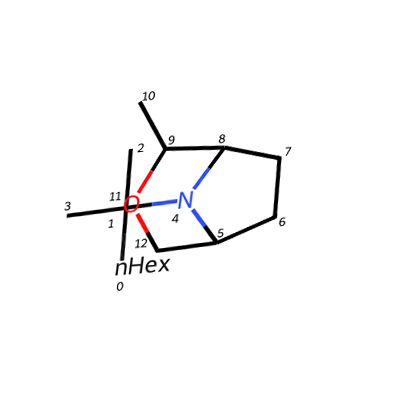 CCCCCCC(C)(C)N1C2CCC1C(C)OC2